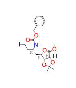 CO[C@@H]1O[C@H](C[C@H](CCI)N(C)C(=O)OCc2ccccc2)C2OC(C)(C)O[C@@H]21